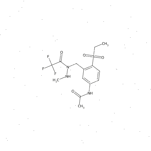 CCS(=O)(=O)c1ccc(NC(C)=O)cc1CN(NC)C(=O)C(F)(F)F